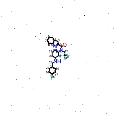 O=C(c1cc2ccccc2[nH]1)N(CC(F)(F)F)[C@H]1CCC[C@@H](NCc2ccc(F)cc2)C1